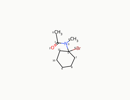 CC(=O)N(C)C1(Br)CCCCC1